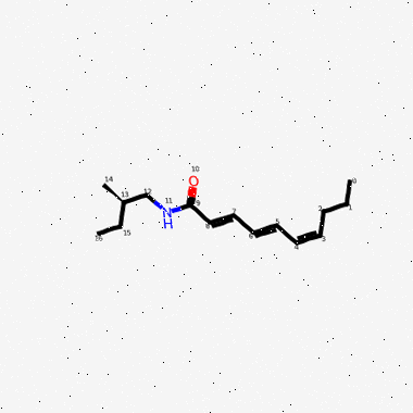 CCC\C=C/C=C/C=C/C(=O)NC[C@H](C)CC